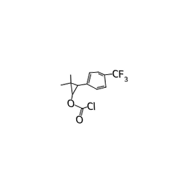 CC1(C)C(OC(=O)Cl)C1c1ccc(C(F)(F)F)cc1